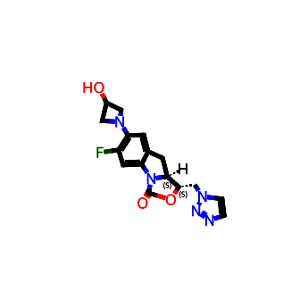 O=C1O[C@@H](Cn2ccnn2)[C@@H]2Cc3cc(N4CC(O)C4)c(F)cc3N12